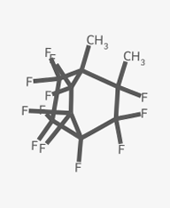 CC1(F)C(F)(F)C2(F)C(F)(F)C(F)(F)C1(C)C(F)(F)C2(F)F